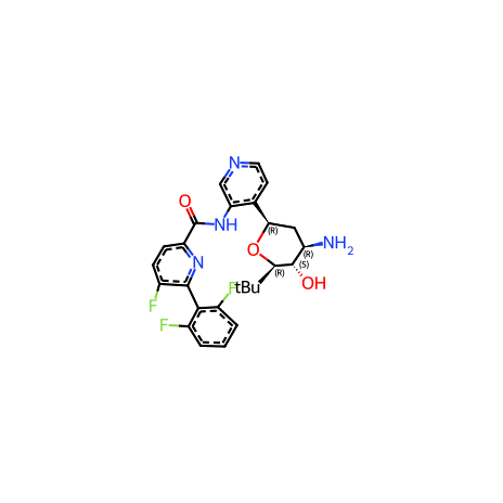 CC(C)(C)[C@H]1O[C@@H](c2ccncc2NC(=O)c2ccc(F)c(-c3c(F)cccc3F)n2)C[C@@H](N)[C@@H]1O